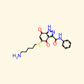 NCCCCCSC1=CC(=O)c2[nH]nc(C(=O)Nc3ccccc3)c2C1=O